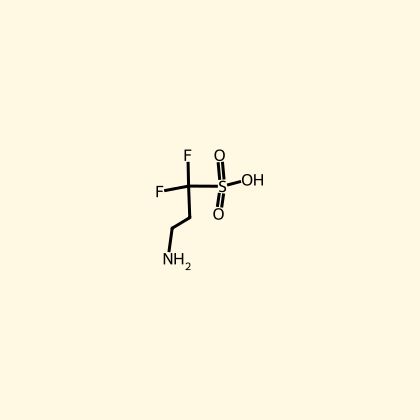 NCCC(F)(F)S(=O)(=O)O